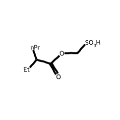 CCCC(CC)C(=O)OCS(=O)(=O)O